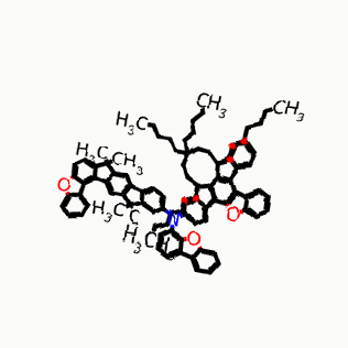 CCCCCCCC12CCC(CCCCC)(CCCCC)CCC3(CCCCCCC)c4ccccc4-c4c3c1c(c1oc3ccccc3c41)-c1ccc(N(c3ccc4c(c3)C(C)(C)c3cc5c(cc3-4)C(C)(C)c3ccc4oc6ccccc6c4c3-5)c3cccc4c3oc3ccccc34)cc12